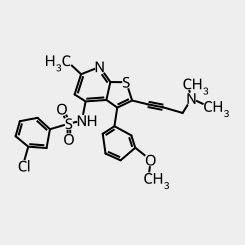 COc1cccc(-c2c(C#CCN(C)C)sc3nc(C)cc(NS(=O)(=O)c4cccc(Cl)c4)c23)c1